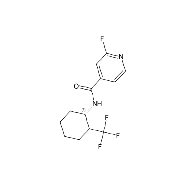 O=C(N[C@H]1CCCCC1C(F)(F)F)c1ccnc(F)c1